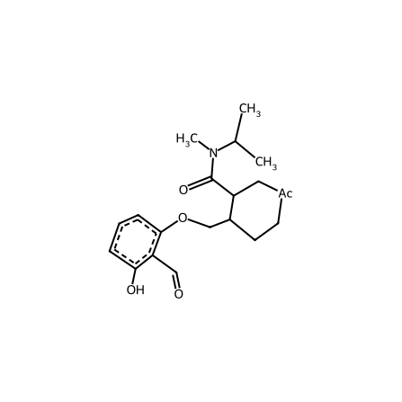 CC(C)N(C)C(=O)C1[CH2][Ac][CH2]CC1COc1cccc(O)c1C=O